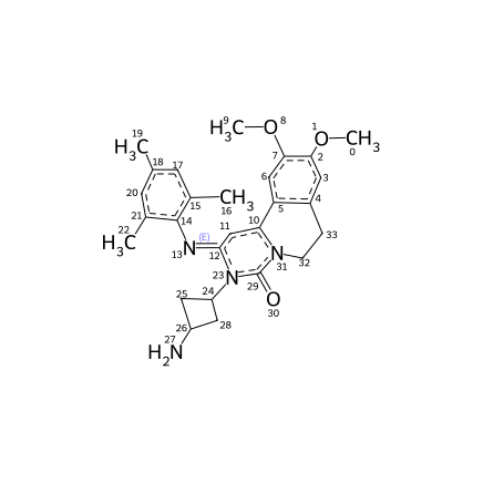 COc1cc2c(cc1OC)-c1c/c(=N\c3c(C)cc(C)cc3C)n(C3CC(N)C3)c(=O)n1CC2